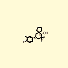 Cc1cc([C@@H]2CC(F)(F)[C@H](O)C3(CCCC3)C2)ccc1F